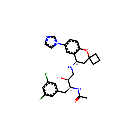 CC(=O)N[C@@H](Cc1cc(F)cc(F)c1)[C@@H](O)CN[C@H]1CC2(CCC2)Oc2ccc(-n3ccnc3)cc21